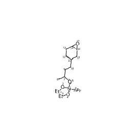 CCC[Si](OCC)(OCC)OC(C)CCC1CCC2OC2C1